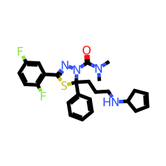 CN(C)C(=O)N1N=C(c2cc(F)ccc2F)SC1(CCCNC1CC=CC1)c1ccccc1